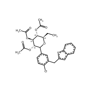 CC[C@H]1OC(c2ccc(Cl)c(Cc3cc4ccccc4s3)c2)[C@H](OC(C)=O)[C@@H](OC(C)=O)[C@@H]1OC(C)=O